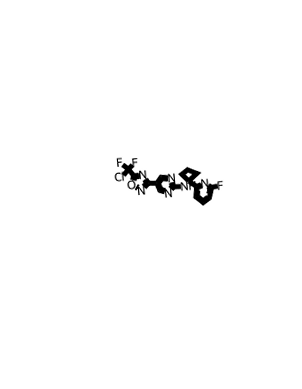 Fc1cccc(C2(Nc3ncc(-c4noc(C(F)(F)Cl)n4)cn3)CCC2)n1